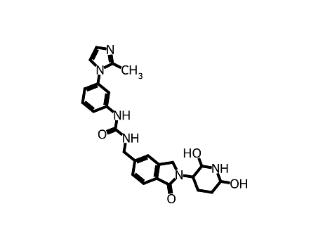 Cc1nccn1-c1cccc(NC(=O)NCc2ccc3c(c2)CN(C2CCC(O)NC2O)C3=O)c1